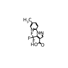 Cc1ccc(-n2ncc(C(=O)O)c2C(F)(F)F)nc1